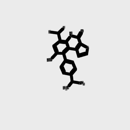 CC(N)c1ccc(-c2c(O)cc(C(F)F)c3[nH]c(=O)c4sccc4c23)cc1